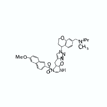 COc1ccc2cc(S(=O)(=O)N3C=CNC(=O)C3Cc3cn(C4CCOc5cc(CN(C)C(C)C)ccc54)nn3)ccc2c1